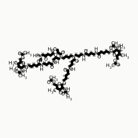 CCC(OC(=O)CCC(=O)C[SH](=P)=S)C(=O)N(CCCCN(CCCNC(=O)CCCNC(=O)CCCCOC1OC(COC(C)=O)C(C)C(C)C1NC(C)=O)C(=O)CCCNC(=O)CCCCOC1OC(COC(C)=O)C(C)C(C)C1NC(C)=O)CCCNC(=O)CCCNC(=O)CCCCOC1OC(COC(C)=O)C(C)C(C)C1NC(C)=O